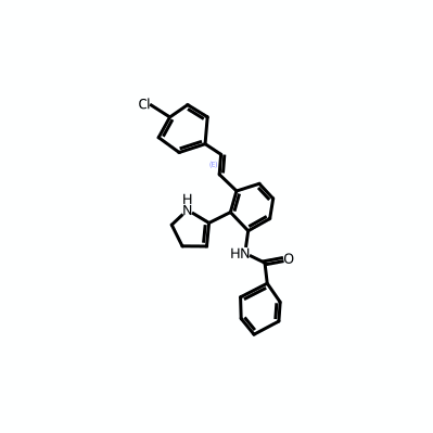 O=C(Nc1cccc(/C=C/c2ccc(Cl)cc2)c1C1=CCCN1)c1ccccc1